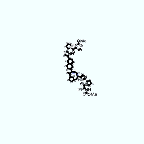 C=C1/C(C2=Cc3ccc(-c4cnc([C@@H]5CCCN5C(=O)[C@@H](NC(=O)OC)C(C)C)[nH]4)cc3CC2)=C\C=C(\c2cnc([C@@H]3CCCN3C(=O)[C@@H](NC(=O)OC)C(C)C)[nH]2)CC2CCC1C2